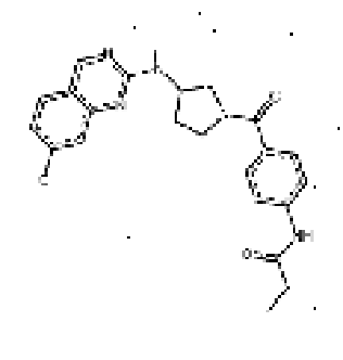 CCC(=O)Nc1ccc(C(=O)N2CCC(Nc3ncc4ccc(Cl)cc4n3)C2)cc1